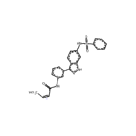 O=C(O)/C=C\C(=O)Nc1cccc(-c2n[nH]c3cc(NS(=O)(=O)c4ccccc4)ccc23)c1